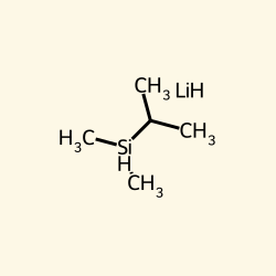 CC(C)[SiH](C)C.[LiH]